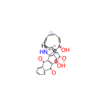 COC(=O)/C=C(\C)[C@@]12C[C@]13c1cc(O)c4c(c1N[C@H]2C#C/C=C\C#C[C@H]3O)C(=O)c1ccccc1C4=O